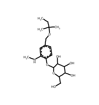 CCC(C)(C)OCc1ccc(OC2OC(CO)C(O)C(O)C2O)c(NC)c1